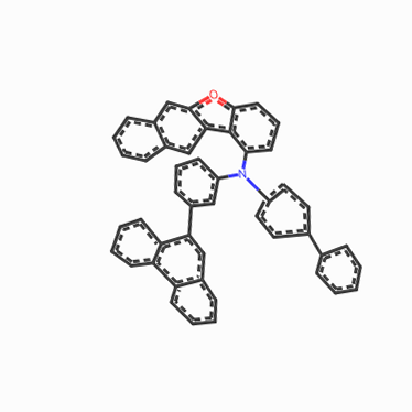 c1ccc(-c2ccc(N(c3cccc(-c4cc5ccccc5c5ccccc45)c3)c3cccc4oc5cc6ccccc6cc5c34)cc2)cc1